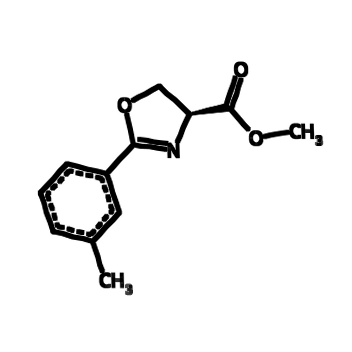 COC(=O)[C@@H]1COC(c2cccc(C)c2)=N1